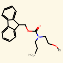 CCOCCN(CCC(=O)O)C(=O)OCC1c2ccccc2-c2ccccc21